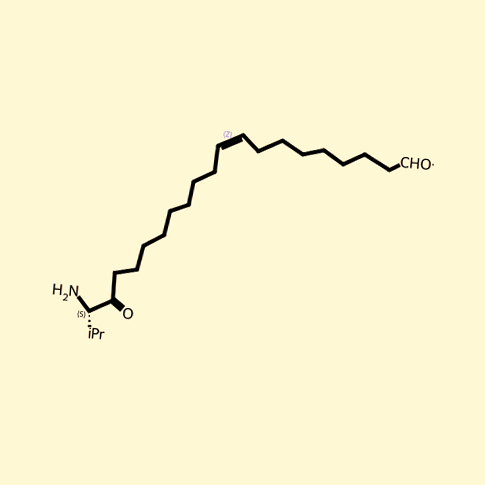 CC(C)[C@H](N)C(=O)CCCCCCCC/C=C\CCCCCCC[C]=O